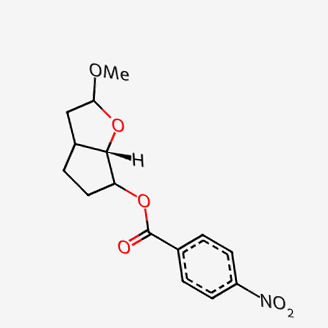 COC1CC2CCC(OC(=O)c3ccc([N+](=O)[O-])cc3)[C@H]2O1